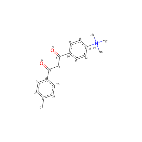 Cc1ccc(C(=O)CC(=O)c2ccc([N+](C)(C)C)cc2)cc1